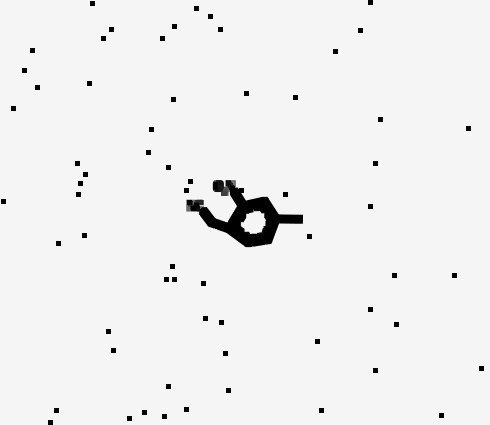 Cc1ccc(CC#N)c([N+](=O)[O-])c1